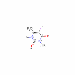 Cn1c(C(F)(F)F)c(I)c(=O)n(C(C)(C)C)c1=O